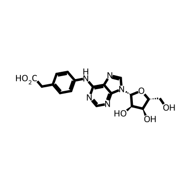 O=C(O)Cc1ccc(Nc2ncnc3c2ncn3[C@@H]2O[C@H](CO)[C@@H](O)[C@H]2O)cc1